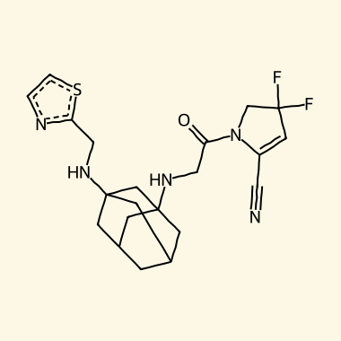 N#CC1=CC(F)(F)CN1C(=O)CNC12CC3CC(C1)CC(NCc1nccs1)(C3)C2